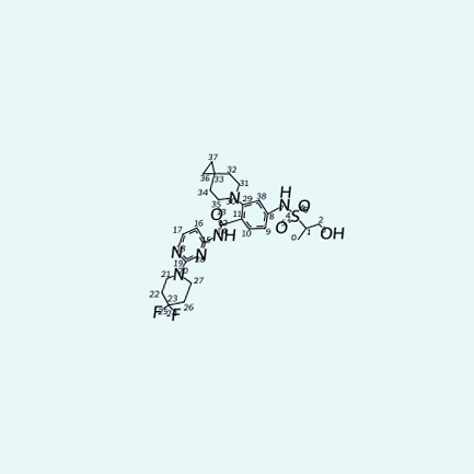 CC(CO)S(=O)(=O)Nc1ccc(C(=O)Nc2ccnc(N3CCC(F)(F)CC3)n2)c(N2CCC3(CC2)CC3)c1